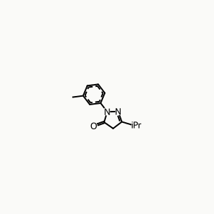 Cc1cccc(N2N=C(C(C)C)CC2=O)c1